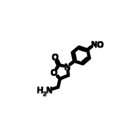 NCC1CN(c2ccc(N=O)cc2)C(=O)O1